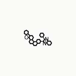 c1ccc(-c2nc3ccccc3nc2-c2ccc3c(ccc4ccc5c(ccc6c7ccccc7oc65)c43)c2)cc1